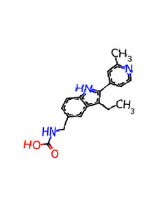 CCc1c(-c2ccnc(C)c2)[nH]c2ccc(CNC(=O)O)cc12